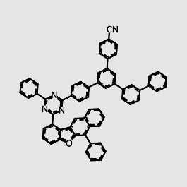 N#Cc1ccc(-c2cc(-c3ccc(-c4nc(-c5ccccc5)nc(-c5cccc6oc7c(-c8ccccc8)c8ccccc8cc7c56)n4)cc3)cc(-c3cccc(-c4ccccc4)c3)c2)cc1